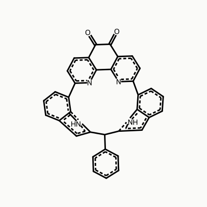 O=C1C(=O)c2ccc3nc2-c2nc(ccc21)-c1cccc2cc([nH]c12)C(c1ccccc1)c1cc2cccc-3c2[nH]1